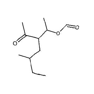 CCC(C)CC(C(C)=O)C(C)OC=O